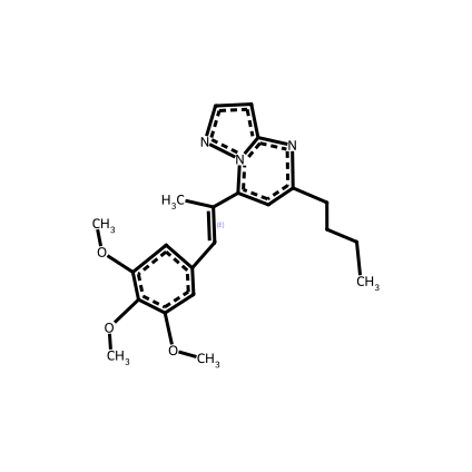 CCCCc1cc(/C(C)=C/c2cc(OC)c(OC)c(OC)c2)n2nccc2n1